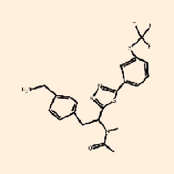 CC(=O)N(C)C(Cc1ccc(CN)cc1)c1nnc(-c2cccc(OC(F)(F)F)c2)s1